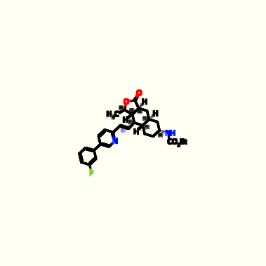 CCOC(=O)N[C@@H]1CC[C@H]2[C@H](C1)C[C@@H]1C(=O)O[C@H](C)[C@H]1[C@@H]2/C=C/c1ccc(-c2cccc(F)c2)cn1